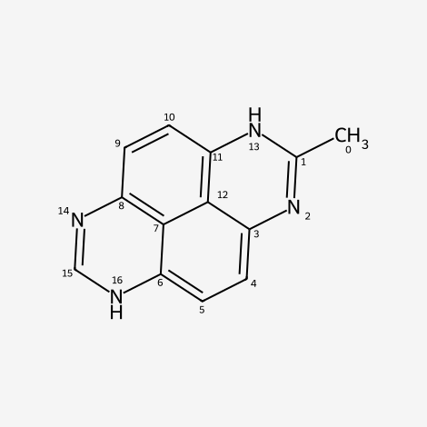 CC1=Nc2ccc3c4c(ccc(c24)N1)N=CN3